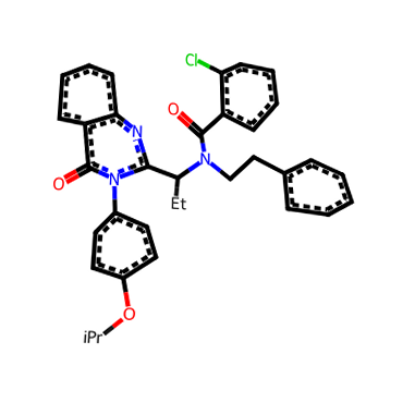 CCC(c1nc2ccccc2c(=O)n1-c1ccc(OC(C)C)cc1)N(CCc1ccccc1)C(=O)c1ccccc1Cl